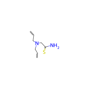 C=CCN(CC=C)CC(N)=S